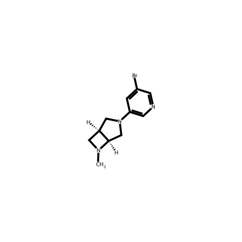 CN1C[C@H]2CN(c3cncc(Br)c3)C[C@H]21